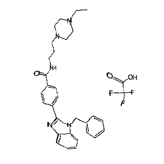 CCN1CCN(CCCNC(=O)c2ccc(-c3nc4ccccc4n3Cc3ccccc3)cc2)CC1.O=C(O)C(F)(F)F